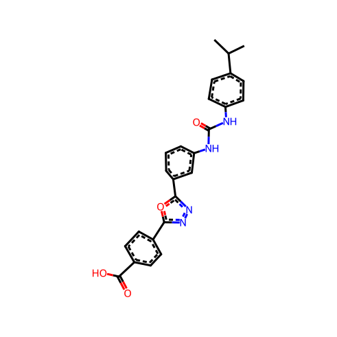 CC(C)c1ccc(NC(=O)Nc2cccc(-c3nnc(-c4ccc(C(=O)O)cc4)o3)c2)cc1